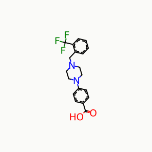 O=C(O)c1ccc(N2CCN(Cc3ccccc3C(F)(F)F)CC2)cc1